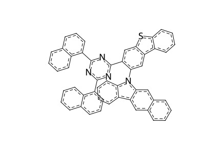 c1ccc2cc3c(cc2c1)c1ccccc1n3-c1cc2c(cc1-c1nc(-c3cccc4ccccc34)nc(-c3cccc4ccccc34)n1)sc1ccccc12